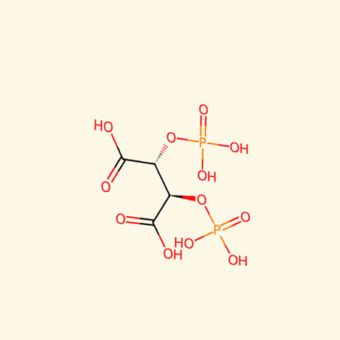 O=C(O)[C@H](OP(=O)(O)O)[C@@H](OP(=O)(O)O)C(=O)O